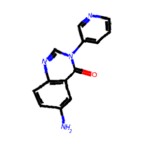 Nc1ccc2ncn(-c3cccnc3)c(=O)c2c1